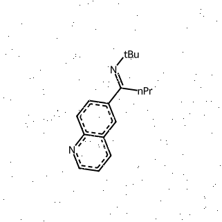 CCCC(=NC(C)(C)C)c1ccc2ncccc2c1